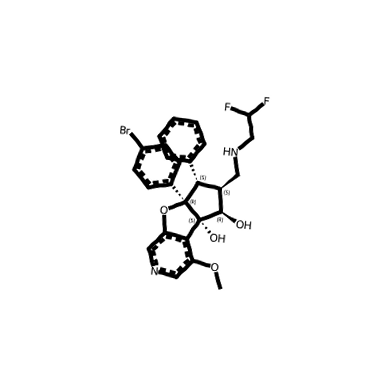 COc1cncc2c1[C@]1(O)[C@H](O)[C@H](CNCC(F)F)[C@@H](c3ccccc3)[C@]1(c1ccc(Br)cc1)O2